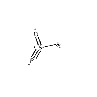 O=S(#P)Br